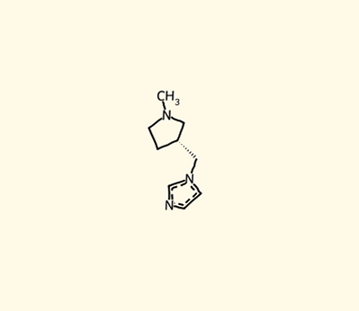 CN1CC[C@@H](Cn2ccnc2)C1